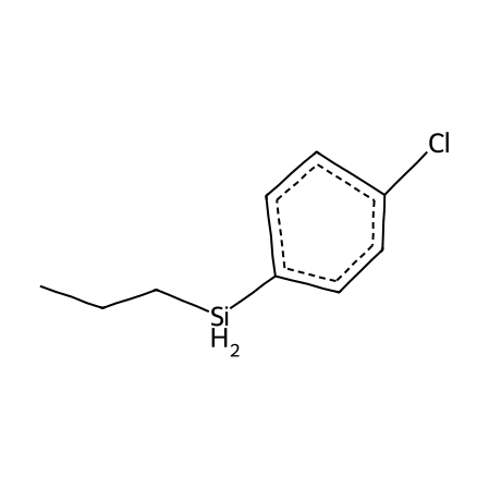 CCC[SiH2]c1ccc(Cl)cc1